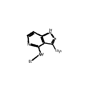 CCNc1nccc2[nH]nc(C(=O)O)c12